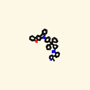 Cc1ncccc1-c1ccccc1Nc1cccc([Si](c2ccccc2)(c2ccccc2)c2ccc(-n3c4ccccc4c4cc5c(cc43)oc3ccccc35)cc2)c1